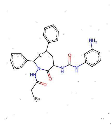 CC(C)(C)CC(=O)NN1C(=O)C(NC(=O)Nc2cccc(N)c2)CC(c2ccccc2)CC1c1ccccc1